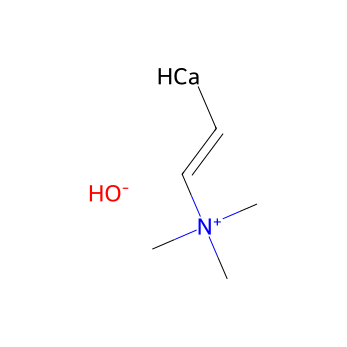 C[N+](C)(C)C=[CH][CaH].[OH-]